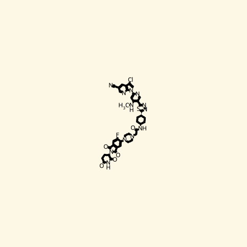 CNc1cc(-n2cc(Cl)c3cc(C#N)cnc32)ncc1-c1nnc([C@H]2CC[C@H](NC(=O)CN3CCN(c4cc5c(cc4F)C(=O)N(C4CCC(=O)NC4=O)C5=O)CC3)CC2)s1